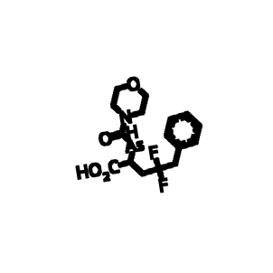 O=C(O)C(CC(F)(F)Cc1ccccc1)[AsH]C(=O)N1CCOCC1